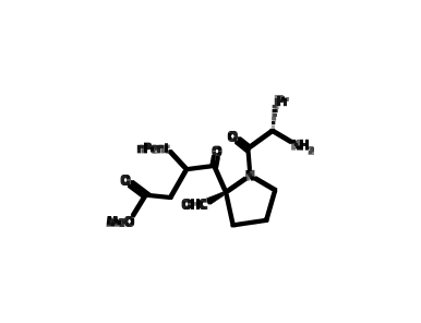 CCCCCC(CC(=O)OC)C(=O)[C@@]1(C=O)CCCN1C(=O)[C@@H](N)C(C)C